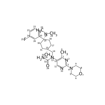 Cc1nc(N2CCOCC2)ncc1N(C[C@]1(C)CC[C@@](c2cccc(F)c2)(N(C)C)CC1)C(N)=O